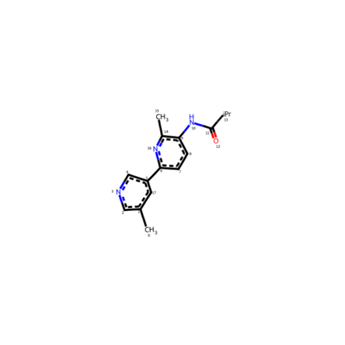 Cc1cncc(-c2ccc(NC(=O)C(C)C)c(C)n2)c1